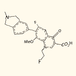 COc1c(-c2ccc3c(c2)CN(C)C3)c(F)cc2c(=O)c(C(=O)O)cn(CCF)c12